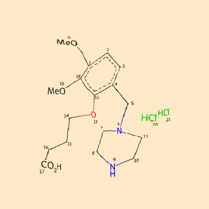 COc1ccc(CN2CCNCC2)c(OCCCC(=O)O)c1OC.Cl.Cl